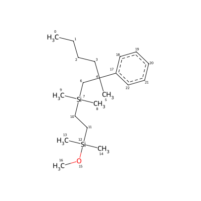 CCCCC(C)(C[Si](C)(C)CC[Si](C)(C)OC)c1ccccc1